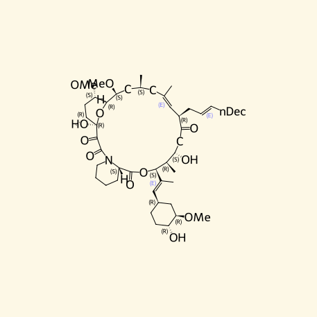 CCCCCCCCCC/C=C/C[C@@H]1/C=C(\C)C[C@H](C)C[C@H](OC)[C@H]2O[C@@](O)(C(=O)C(=O)N3CCCC[C@H]3C(=O)O[C@H](/C(C)=C/[C@@H]3CC[C@@H](O)[C@H](OC)C3)[C@H](C)[C@@H](O)CC1=O)[C@H](C)C[C@@H]2OC